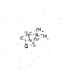 C[Si](C)(C)OS(=O)(=O)C(Cl)Cl